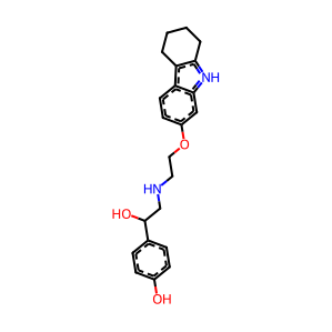 Oc1ccc(C(O)CNCCOc2ccc3c4c([nH]c3c2)CCCC4)cc1